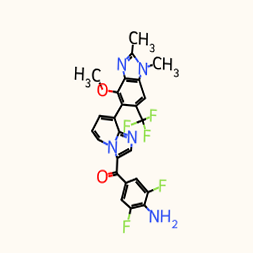 COc1c(-c2cccn3c(C(=O)c4cc(F)c(N)c(F)c4)cnc23)c(C(F)(F)F)cc2c1nc(C)n2C